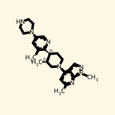 Cc1cc(N2CC[C@H](c3ncc(N4CCNCC4)cc3C)[C@H](C)C2)c2cnn(C)c2n1